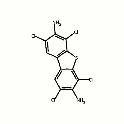 Nc1c(Cl)cc2c(sc3c(Cl)c(N)c(Cl)cc32)c1Cl